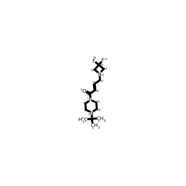 CC(C)(C)N1CCN(C(=O)/C=C/CN2CC(F)(F)C2)CC1